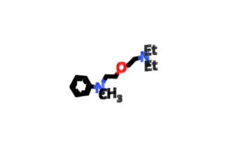 CCN(CC)CCOCCN(C)c1ccccc1